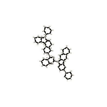 c1ccc(-c2ccc3c(c2)c2cc4ccccc4cc2n3-c2nc(-c3ccc4c(ccc5c4c4ccccc4n5-c4ccccc4)c3)c3ccccc3n2)cc1